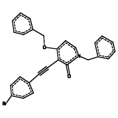 O=c1c(C#Cc2ccc(Br)cc2)c(OCc2ccccc2)ccn1Cc1ccccc1